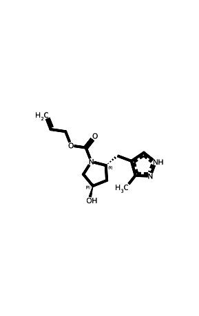 C=CCOC(=O)N1C[C@H](O)C[C@H]1Cc1c[nH]nc1C